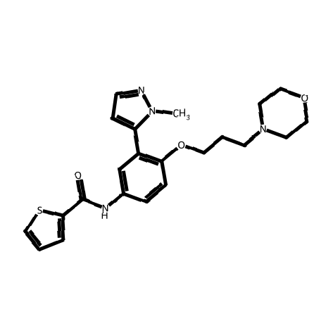 Cn1nccc1-c1cc(NC(=O)c2cccs2)ccc1OCCCN1CCOCC1